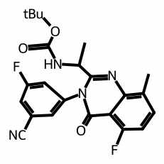 Cc1ccc(F)c2c(=O)n(-c3cc(F)cc(C#N)c3)c(C(C)NC(=O)OC(C)(C)C)nc12